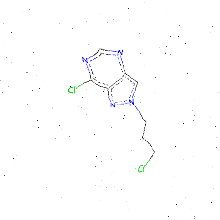 ClCCCn1cc2ncnc(Cl)c2n1